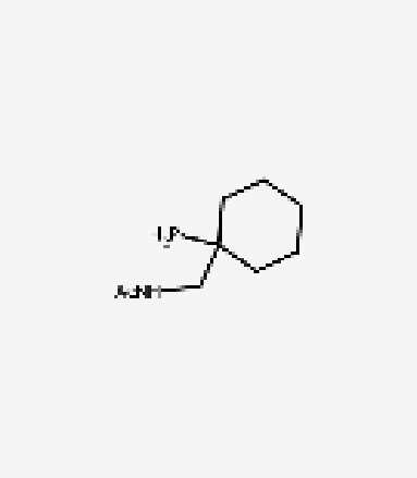 CC(=O)NCC1(P)CCCCC1